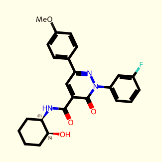 COc1ccc(-c2cc(C(=O)N[C@@H]3CCCC[C@@H]3O)c(=O)n(-c3cccc(F)c3)n2)cc1